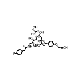 C#CCOc1ccc(CO[C@]2(C(=O)OC)C[C@H](O)[C@@H](NC(=O)CO)[C@H]([C@H](O)[C@H](O)CNC(=O)Cc3ccc(F)cc3)O2)cc1